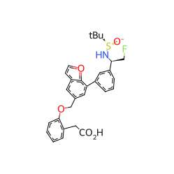 CC(C)(C)[S@@+]([O-])N[C@@H](CF)c1cccc(-c2cc(COc3ccccc3CC(=O)O)cc3ccoc23)c1